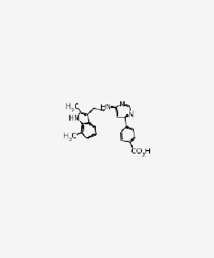 Cc1[nH]c2c(C)cccc2c1CCNc1cc(-c2ccc(C(=O)O)cc2)ncn1